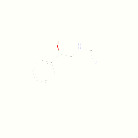 Cc1cccc([C@@H](O)CNC(=N)N)c1